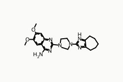 COc1cc2nc(N3CCN(c4nc5c([nH]4)CCCCC5)CC3)nc(N)c2cc1OC